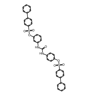 O=C(Nc1ccc(OS(=O)(=O)c2ccc(-c3ccccc3)cc2)cc1)Nc1cccc(OS(=O)(=O)c2ccc(-c3ccccc3)cc2)c1